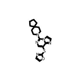 c1coc(Sc2cnc(N3CCC4(CCCC4)CC3)n3ccnc23)n1